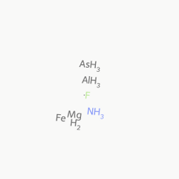 N.[AlH3].[AsH3].[F].[Fe].[MgH2]